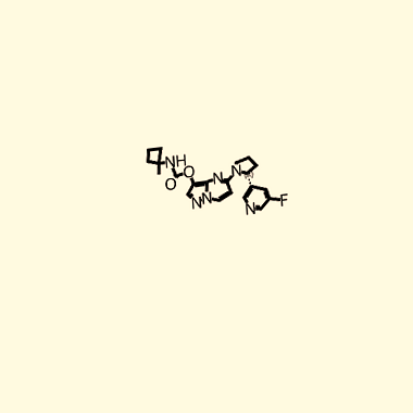 CC1(NC(=O)Oc2cnn3ccc(N4CCC[C@@H]4c4cncc(F)c4)nc23)CCC1